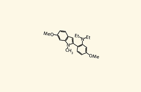 CCN(CC)c1cc(OC)ccc1-c1cc2ccc(OC)cc2n1C